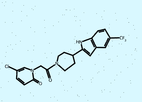 O=C(Cn1cc(Cl)ccc1=O)N1CCC(c2cc3cc(C(F)(F)F)ccc3[nH]2)CC1